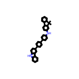 CC1(C)c2ccccc2-c2ccc(Nc3ccc(-c4ccc(-c5ccc6[nH]c7ccccc7c6c5)cc4)cc3)cc21